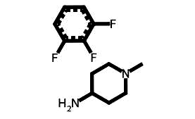 CN1CCC(N)CC1.Fc1cccc(F)c1F